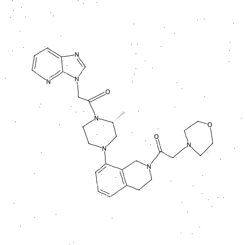 C[C@@H]1CN(c2cccc3c2CN(C(=O)CN2CCOCC2)CC3)CCN1C(=O)Cn1cnc2cccnc21